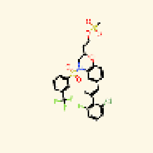 CC(=Cc1ccc2c(c1)N(S(=O)(=O)c1cccc(C(F)(F)F)c1)CC(CCOS(C)(=O)=O)O2)c1c(F)cccc1Cl